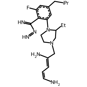 CCC1CN(C/C(N)=C/C=C\N)CCN1c1cc(CC(C)C)cc(F)c1C(=N)N=N